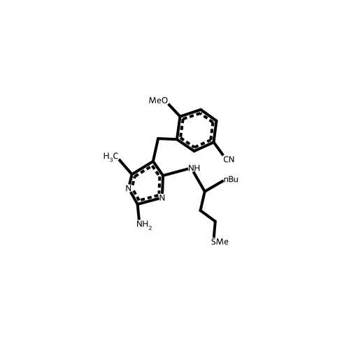 CCCCC(CCSC)Nc1nc(N)nc(C)c1Cc1cc(C#N)ccc1OC